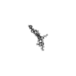 CCCCOc1cc(OCCCC)c(C(C)C)cc1CON1Cc2ccc(OCCOC)cc2C1